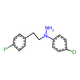 NN(CCc1ccc(F)cc1)c1ccc(Cl)cc1